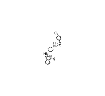 CN(C)c1nc(N[C@H]2CC[C@@H](NCC(C)(C)Oc3ccc(Cl)cc3)CC2)nc2ccccc12